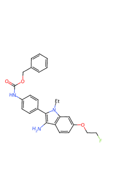 CCn1c(-c2ccc(NC(=O)OCc3ccccc3)cc2)c(N)c2ccc(OCCF)cc21